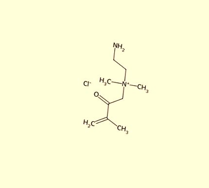 C=C(C)C(=O)C[N+](C)(C)CCN.[Cl-]